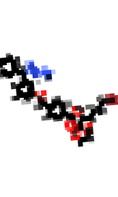 [N-]=[N+]=NC(c1ccccc1)c1cccc(OCc2ccc(C(=O)OC3(CCCCCBr)OCCO3)cc2)c1